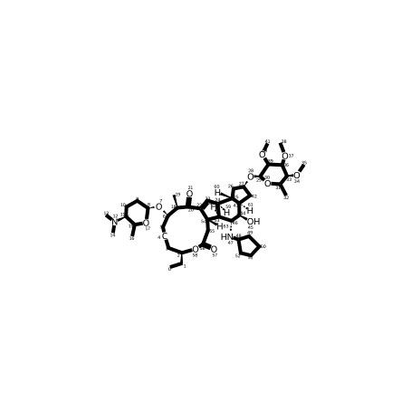 CC[C@H]1CCC[C@H](O[C@H]2CC[C@H](N(C)C)C(C)O2)[C@@H](C)C(=O)C2=C[C@H]3[C@@H]4C[C@H](O[C@@H]5OC(C)[C@H](OC)C(OC)C5OC)C[C@H]4[C@@H](O)[C@H](NC4CCCC4)[C@H]3[C@@H]2CC(=O)O1